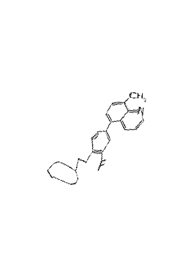 Cc1ccc(-c2ccc(CCC3CCCCC3)c(F)c2)c2cccnc12